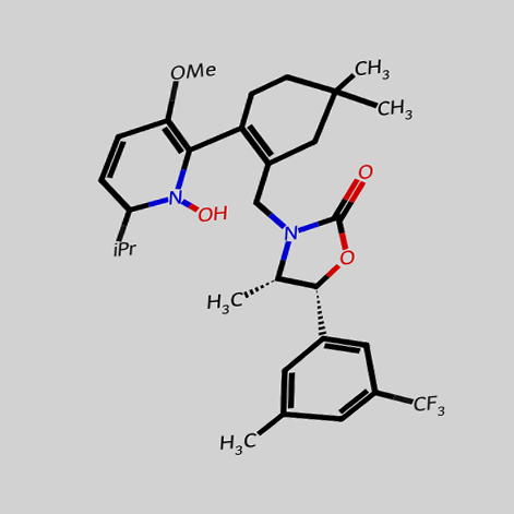 COC1=C(C2=C(CN3C(=O)O[C@H](c4cc(C)cc(C(F)(F)F)c4)[C@@H]3C)CC(C)(C)CC2)N(O)C(C(C)C)C=C1